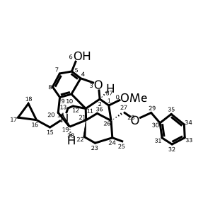 COC1[C@@H]2Oc3c(O)ccc4c3C23CCN(CC2CC2)[C@H](C4)[C@]32CCC(C)[C@@]1(COCc1ccccc1)C2